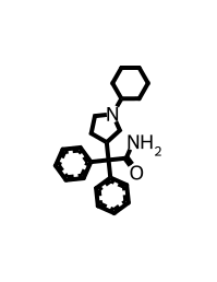 NC(=O)C(c1ccccc1)(c1ccccc1)C1CCN(C2CCCCC2)C1